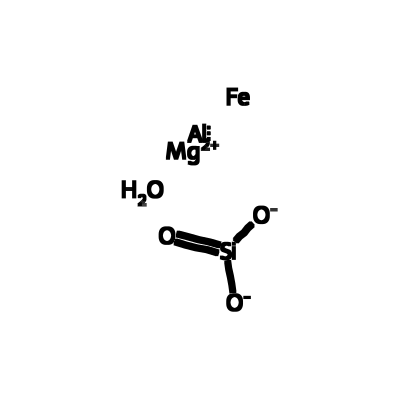 O.O=[Si]([O-])[O-].[Al].[Fe].[Mg+2]